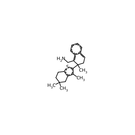 Cc1c(C2(C)CC=c3ccccc3=C2CN)sc2c1CC(C)(C)CC2